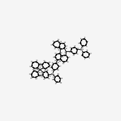 c1ccc(N(c2ccccc2)c2ccc(C3c4ccc5ccccc5c4-c4ccc(-c5ccc(N(c6ccccc6)c6ccc7c(c6)C6(c8ccccc8-c8ccccc86)c6ccccc6-7)cc5)c5cccc3c45)cc2)cc1